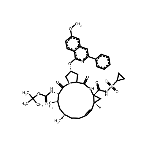 COc1ccc2c(O[C@@H]3CC4C(=O)N[C@]5(C(=O)NS(=O)(=O)C6CC6)C[C@H]5/C=C\CC[C@@H](C)C[C@@H](C)[C@H](NC(=O)OC(C)(C)C)C(=O)N4C3)nc(-c3ccccc3)cc2c1